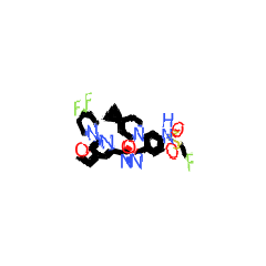 O=S(=O)(CCF)Nc1ccc(-c2nnc(-c3cc4ccoc4c(N4CCC(F)(F)CC4)n3)o2)c(N2CCC3(CC2)CC3)c1